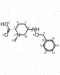 O=C(O)[C@@H]1CCC(NOCc2ccccc2)CN1I